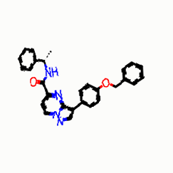 C[C@H](NC(=O)c1ccn2ncc(-c3ccc(OCc4ccccc4)cc3)c2n1)c1ccccc1